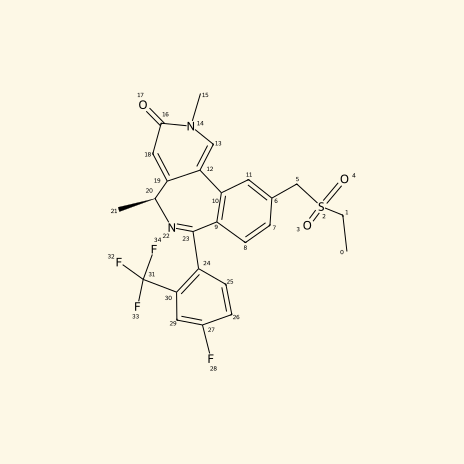 CCS(=O)(=O)Cc1ccc2c(c1)-c1cn(C)c(=O)cc1[C@H](C)N=C2c1ccc(F)cc1C(F)(F)F